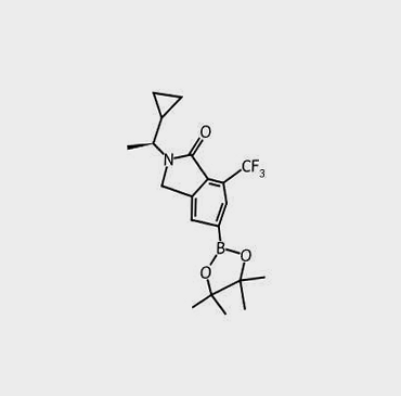 C[C@@H](C1CC1)N1Cc2cc(B3OC(C)(C)C(C)(C)O3)cc(C(F)(F)F)c2C1=O